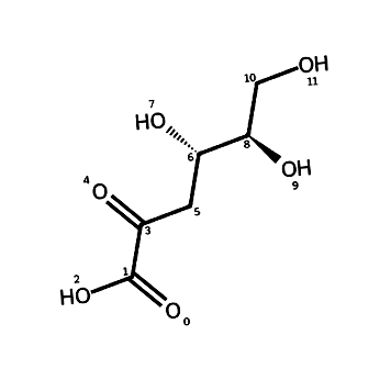 O=C(O)C(=O)C[C@H](O)[C@H](O)CO